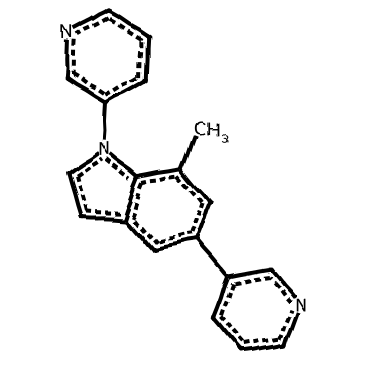 Cc1cc(-c2cccnc2)cc2ccn(-c3cccnc3)c12